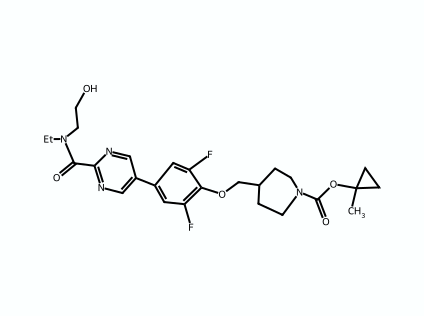 CCN(CCO)C(=O)c1ncc(-c2cc(F)c(OCC3CCN(C(=O)OC4(C)CC4)CC3)c(F)c2)cn1